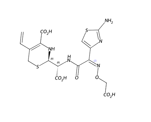 C=CC1=C(C(=O)O)N[C@@H]([C@H](NC(=O)/C(=N\OCC(=O)O)c2csc(N)n2)C(=O)O)SC1